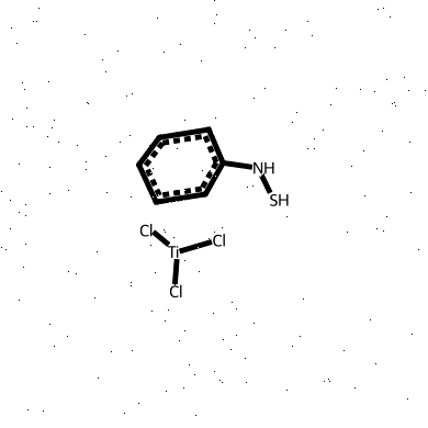 SNc1ccccc1.[Cl][Ti]([Cl])[Cl]